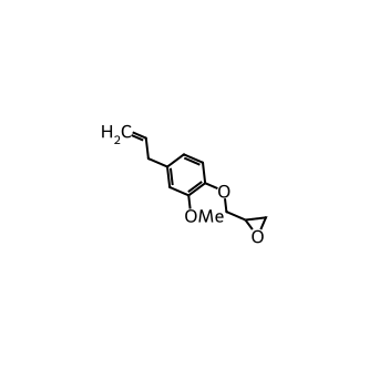 C=CCc1ccc(OCC2CO2)c(OC)c1